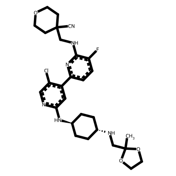 CC1(CN[C@H]2CC[C@H](Nc3cc(-c4ccc(F)c(NCC5(C#N)CCOCC5)n4)c(Cl)cn3)CC2)OCCO1